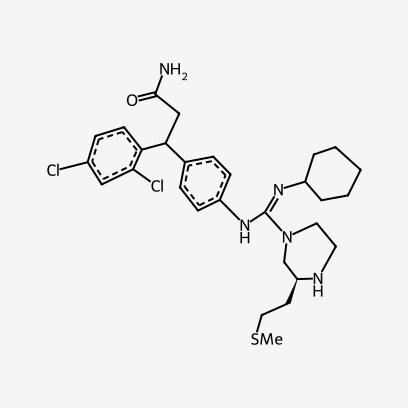 CSCC[C@H]1CN(/C(=N\C2CCCCC2)Nc2ccc(C(CC(N)=O)c3ccc(Cl)cc3Cl)cc2)CCN1